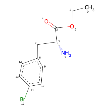 CCOC(=O)[C@H](N)Cc1ccc(Br)cc1